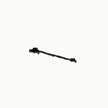 CCCCCCCCCCCCCCCCCCCCCCCCCCCCCCCCCCCCCCCC(C)(C)O